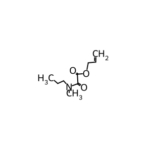 C=CCOC(=O)C(=O)N(C)CCC